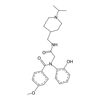 COc1ccc(C(=O)N(CC(=O)NCC2CCN(C(C)C)CC2)c2ccccc2O)cc1